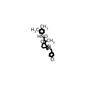 Cc1ccc(NC(=O)c2oc3c(c2C)-c2nn(Cc4ccc(Cl)cc4)cc2CC3)cc1C